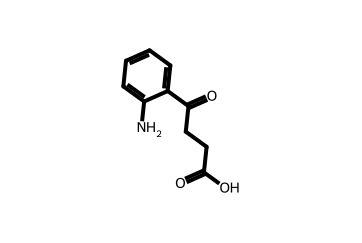 Nc1ccccc1C(=O)CCC(=O)O